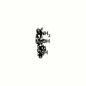 C[C@@H]1OCC2(CCN(c3ncc(Sc4ccnc5c4OCC4(COC4)N5)nc3CO)CC2)[C@@H]1N